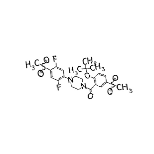 CC(C)(C)Oc1ccc(S(C)(=O)=O)cc1C(=O)N1CCN(c2cc(F)c(S(C)(=O)=O)cc2F)CC1